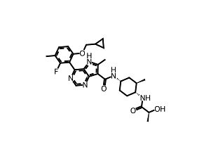 Cc1ccc(OCC2CC2)c(-c2ncnc3c(C(=O)N[C@H]4CC[C@@H](NC(=O)[C@H](C)O)[C@H](C)C4)c(C)[nH]c23)c1F